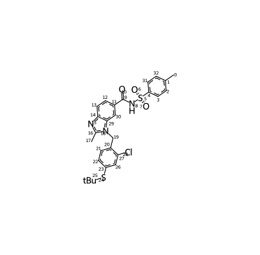 Cc1ccc(S(=O)(=O)NC(=O)c2ccc3nc(C)n(Cc4ccc(SC(C)(C)C)cc4Cl)c3c2)cc1